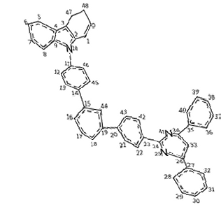 C1=Cc2c(c3ccccc3n2-c2ccc(-c3cccc(-c4ccc(-c5nc(-c6ccccc6)cc(-c6ccccc6)n5)cc4)c3)cc2)CC1